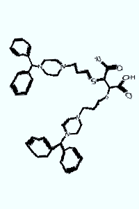 O=C(O)C(SCCCN1CCN(C(c2ccccc2)c2ccccc2)CC1)C(SCCCN1CCN(C(c2ccccc2)c2ccccc2)CC1)C(=O)O